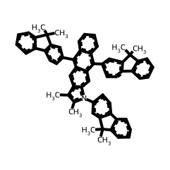 Cc1c(C)n(-c2ccc3c(c2)C(C)(C)c2ccccc2-3)c2cc3c(-c4ccc5c(c4)C(C)(C)c4ccccc4-5)c4ccccc4c(-c4ccc5c(c4)C(C)(C)c4ccccc4-5)c3cc12